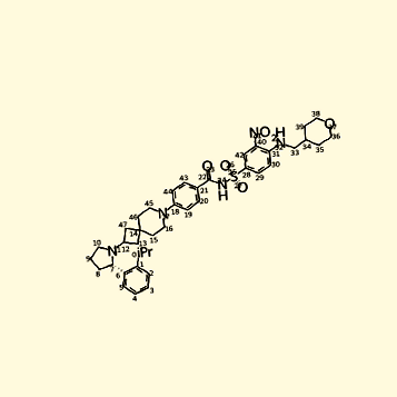 CC(C)c1ccccc1[C@@H]1CCCN1C1CC2(CCN(c3ccc(C(=O)NS(=O)(=O)c4ccc(NCC5CCOCC5)c([N+](=O)[O-])c4)cc3)CC2)C1